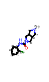 [2H]N1CC2CN(C(=O)Nc3ccccc3F)CC2C1